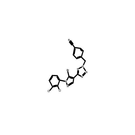 N#Cc1ccc(Cn2nnc(-c3cnn(-c4cccc(Cl)c4Cl)c3Br)n2)cc1